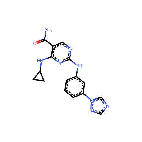 NC(=O)c1cnc(Nc2cccc(-n3cncn3)c2)nc1NC1CC1